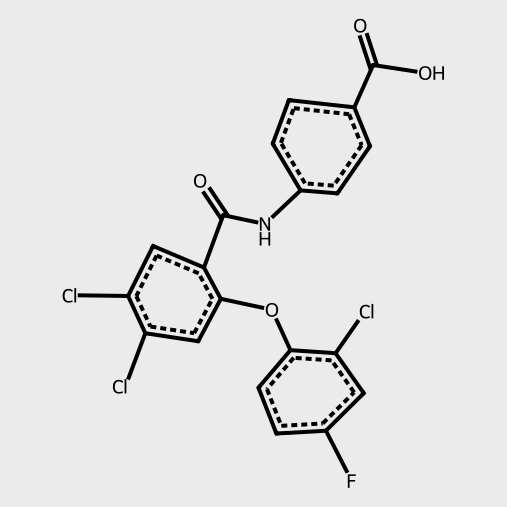 O=C(O)c1ccc(NC(=O)c2cc(Cl)c(Cl)cc2Oc2ccc(F)cc2Cl)cc1